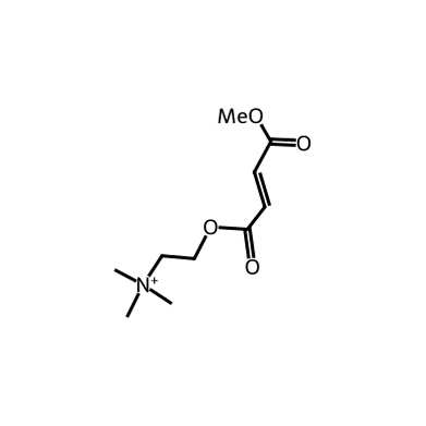 COC(=O)C=CC(=O)OCC[N+](C)(C)C